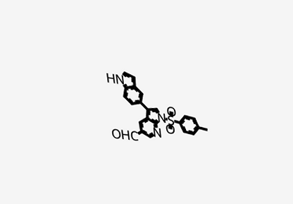 Cc1ccc(S(=O)(=O)n2cc(-c3ccc4[nH]ccc4c3)c3cc(C=O)cnc32)cc1